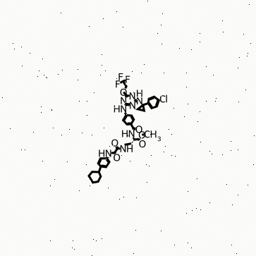 COC(=O)[C@H](CCNC(=O)C(=O)Nc1ccc(C2CCCCC2)cc1)NC(=O)c1ccc(Nc2nc(NC3(c4ccc(Cl)cc4)CC3)nc(OCC(F)(F)F)n2)cc1